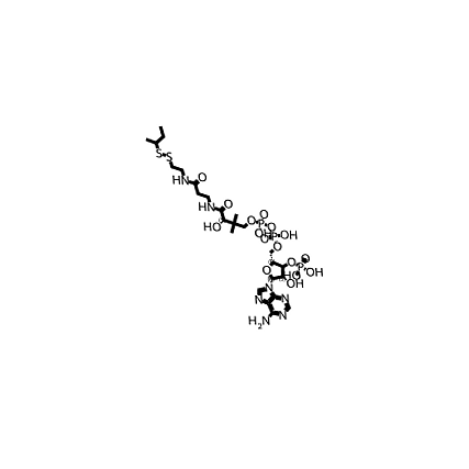 CCC(C)SSCCNC(=O)CCNC(=O)[C@@H](O)C(C)(C)COP(=O)(O)OP(=O)(O)OC[C@H]1O[C@@H](n2cnc3c(N)ncnc32)[C@@H](O)C1OP(=O)(O)O